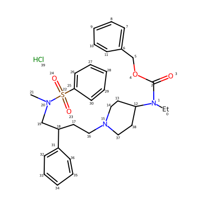 CCN(C(=O)OCc1ccccc1)C1CCN(CCC(CN(C)S(=O)(=O)c2ccccc2)c2ccccc2)CC1.Cl